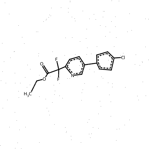 CCOC(=O)C(F)(F)c1ccc(-c2ccc(Cl)cc2)cn1